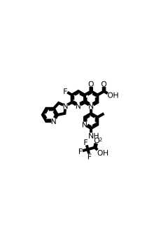 Cc1cc(N)ncc1-n1cc(C(=O)O)c(=O)c2cc(F)c(N3Cc4cccnc4C3)nc21.O=C(O)C(F)(F)F